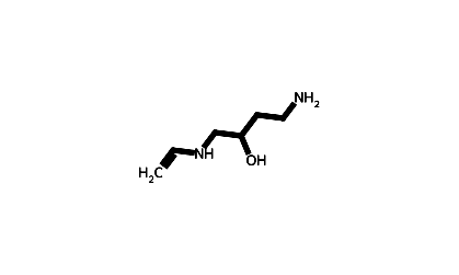 C=CNCC(O)CCN